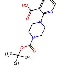 CC(C)(C)OC(=O)N1CCN(c2ncccc2C(=O)O)CC1